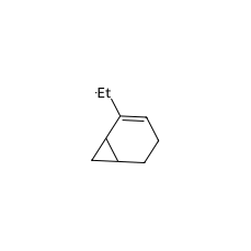 C[CH]C1=CCCC2CC12